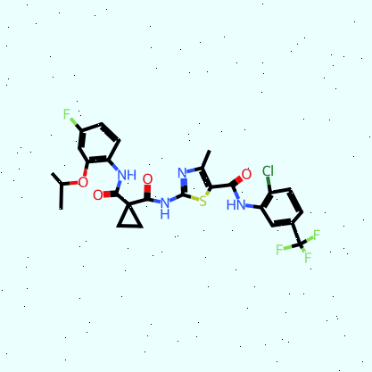 Cc1nc(NC(=O)C2(C(=O)Nc3ccc(F)cc3OC(C)C)CC2)sc1C(=O)Nc1cc(C(F)(F)F)ccc1Cl